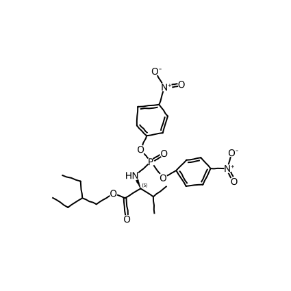 CCC(CC)COC(=O)[C@@H](NP(=O)(Oc1ccc([N+](=O)[O-])cc1)Oc1ccc([N+](=O)[O-])cc1)C(C)C